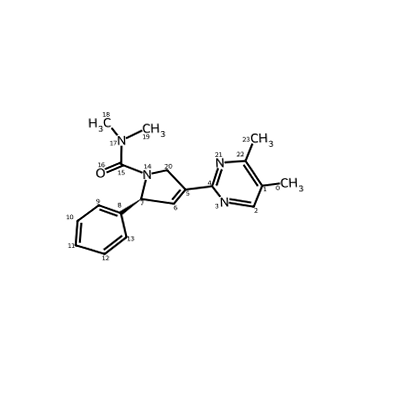 Cc1cnc(C2=C[C@@H](c3ccccc3)N(C(=O)N(C)C)C2)nc1C